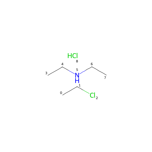 CCCl.CCNCC.Cl